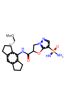 COC[C@H]1CCc2cc3c(c(NC(=O)C4Cn5ncc(S(=N)(N)=O)c5O4)c21)CCC3